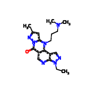 CCn1ncc2c1ncc1c(=O)n3nc(C)cc3n(CCCN(C)C)c12